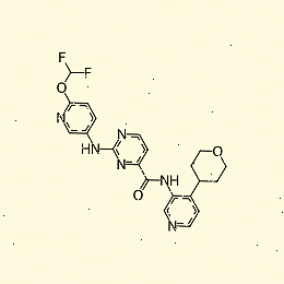 O=C(Nc1cnccc1C1CCOCC1)c1ccnc(Nc2ccc(OC(F)F)nc2)n1